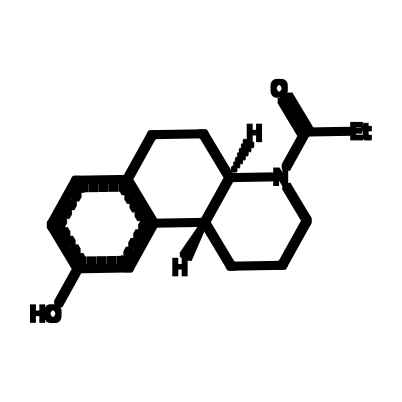 CCC(=O)N1CCC[C@@H]2c3cc(O)ccc3CC[C@H]21